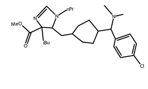 CCCN1C=NC(C(=O)OC)(C(C)CC)C1CC1CCC(C(c2ccc(Cl)cc2)N(C)C)CC1